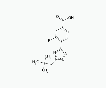 CC(C)(C)Cn1nnc(-c2ccc(C(=O)O)cc2F)n1